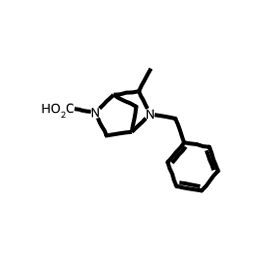 CC1C2CC(CN2C(=O)O)N1Cc1ccccc1